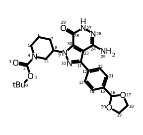 CC(C)(C)OC(=O)N1CCCC(n2nc(-c3ccc(C4OCCO4)cc3)c3c(N)n[nH]c(=O)c32)C1